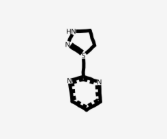 c1cnc(S2=NNCC2)nc1